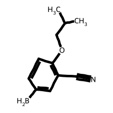 Bc1ccc(OCC(C)C)c(C#N)c1